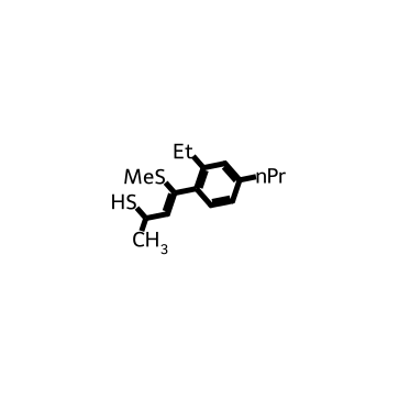 CCCc1ccc(/C(=C/C(C)S)SC)c(CC)c1